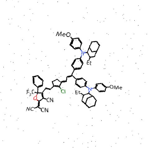 CCC1CC2CCCC(C2)C1N(c1ccc(OC)cc1)c1ccc(C(=C/C=C2\CCC(/C=C/C3=C(C#N)C(=C(C#N)C#N)OC3(c3ccccc3)C(F)(F)F)=C2Cl)c2ccc(N(c3ccc(OC)cc3)C3C(CC)CC4CCCC3C4)cc2)cc1